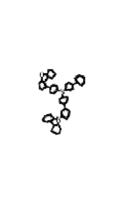 C1=CC2c3ccccc3N(c3cccc(-c4ccc(N(c5ccc(-c6ccccc6)cc5)c5ccc(-c6cccc7oc8ccccc8c67)cc5)cc4)c3)C2C=C1